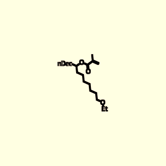 C=C(C)C(=O)OC(CCCCCCCCCC)CCCCCCCOCC